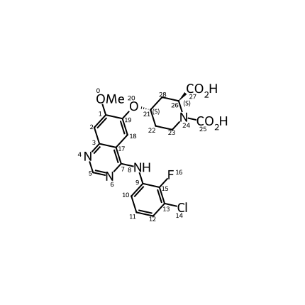 COc1cc2ncnc(Nc3cccc(Cl)c3F)c2cc1O[C@H]1CCN(C(=O)O)[C@H](C(=O)O)C1